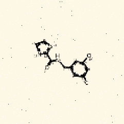 O=C(NCc1cc(Cl)cc(Cl)c1)c1nccs1